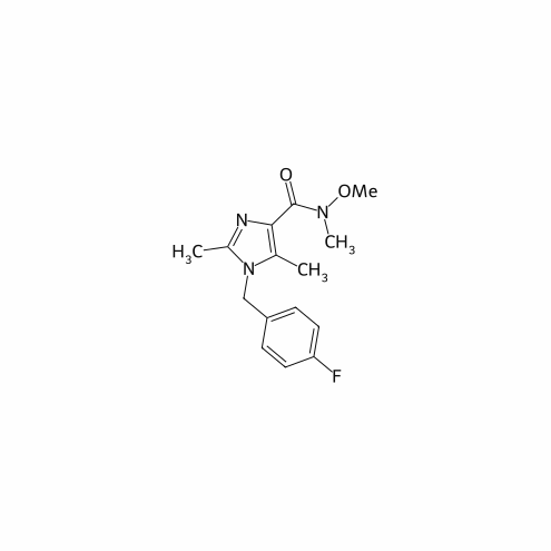 CON(C)C(=O)c1nc(C)n(Cc2ccc(F)cc2)c1C